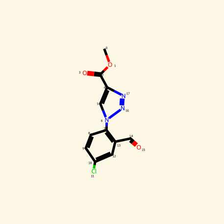 COC(=O)c1cn(-c2ccc(Cl)cc2C=O)nn1